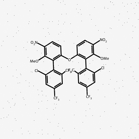 COc1c([N+](=O)[O-])ccc(Oc2ccc([N+](=O)[O-])c(OC)c2-c2c(Cl)cc(C(F)(F)F)cc2C(F)(F)F)c1-c1c(Cl)cc(C(F)(F)F)cc1C(F)(F)F